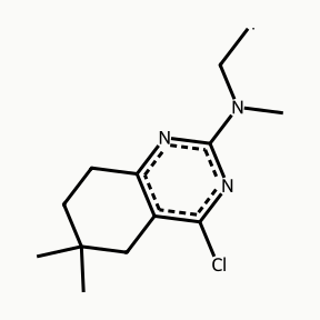 [CH2]CN(C)c1nc(Cl)c2c(n1)CCC(C)(C)C2